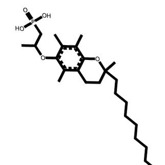 CCCCCCCCCC1(C)CCc2c(C)c(OC(C)CP(=O)(O)O)c(C)c(C)c2O1